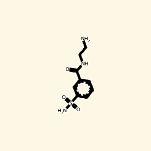 NCCNC(=O)c1cccc(S(N)(=O)=O)c1